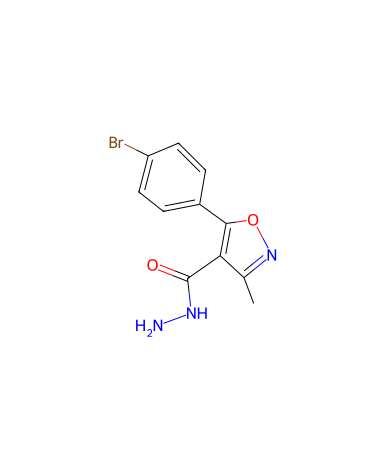 Cc1noc(-c2ccc(Br)cc2)c1C(=O)NN